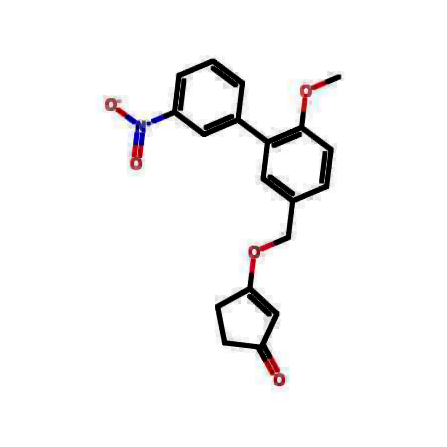 COc1ccc(COC2=CC(=O)CC2)cc1-c1cccc([N+](=O)[O-])c1